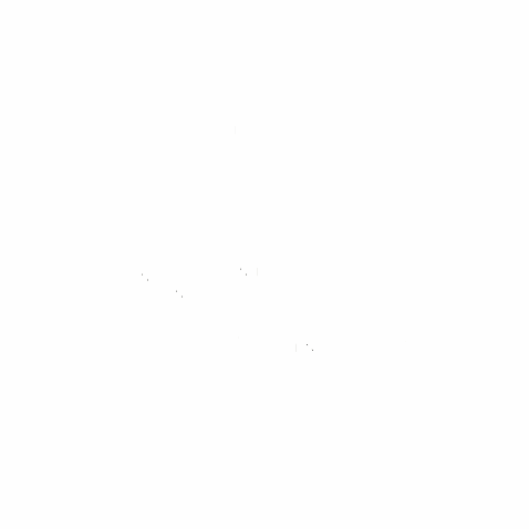 Cc1nn(C)c(NC(=O)CNC2CC3CCC2C3)c1C(=O)c1ccccc1F